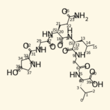 CC(C)C[C@H](NC(=O)CNC(=O)[C@H](CC(C)C)NC(=O)[C@H](CCC(N)=O)NC(=O)CNC(=O)[C@@H]1C[C@@H](O)CN1)C(=O)O